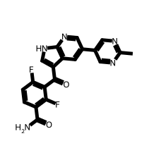 Cc1ncc(-c2cnc3[nH]cc(C(=O)c4c(F)ccc(C(N)=O)c4F)c3c2)cn1